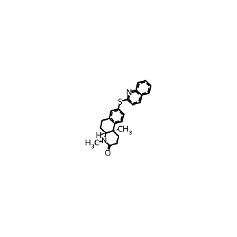 CN1C(=O)CC[C@]2(C)c3ccc(Sc4ccc5ccccc5n4)cc3CC[C@@H]12